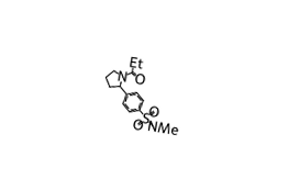 CCC(=O)N1CCCC1c1ccc(S(=O)(=O)NC)cc1